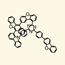 c1ccc(-c2nc(-c3ccc(-c4ccc5c(c4)oc4ccccc45)cc3)nc(-c3cccc4oc5ccc(-c6ccc(-c7cccc8c9ccccc9n(-c9ccccc9)c78)c7oc8ccccc8c67)cc5c34)n2)cc1